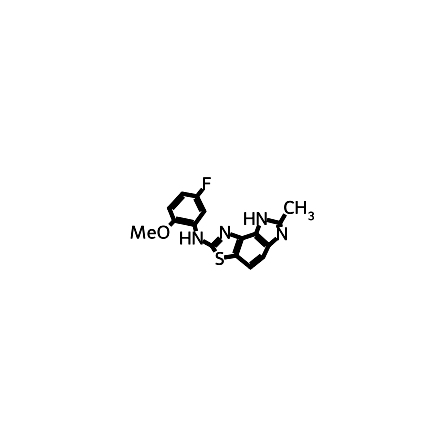 COc1ccc(F)cc1Nc1nc2c(ccc3nc(C)[nH]c32)s1